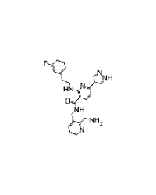 NCc1ncccc1CNC(=O)c1ccc(-c2cn[nH]c2)nc1NCCc1cccc(F)c1